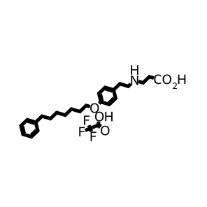 O=C(O)C(F)(F)F.O=C(O)CCNCCc1ccc(OCCCCCCCc2ccccc2)cc1